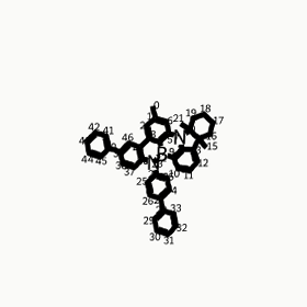 Cc1cc2c3c(c1)N1c4c(cccc4C4(C)CCCCC14C)B3N(c1ccc(-c3ccccc3)cc1)c1ccc(-c3ccccc3)cc1-2